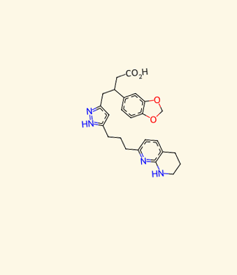 O=C(O)CC(Cc1cc(CCCc2ccc3c(n2)NCCC3)[nH]n1)c1ccc2c(c1)OCO2